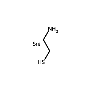 NCCS.[Sn]